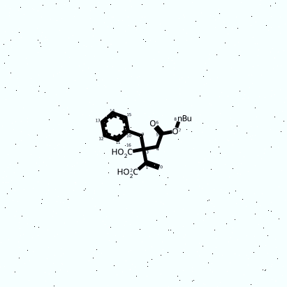 C=C(C(=O)O)C(CC(=O)OCCCC)(Cc1ccccc1)C(=O)O